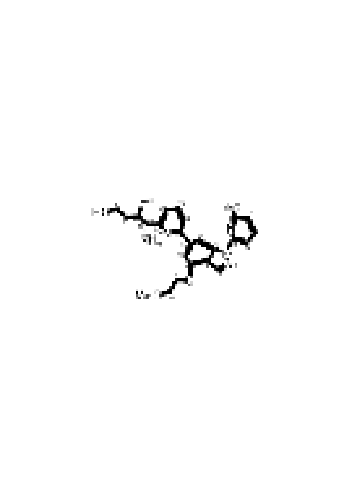 CCc1cccc(-n2ncc3c(OCCOC)cc(-c4cccc([C@H](N)C(F)CCO)n4)cc32)n1